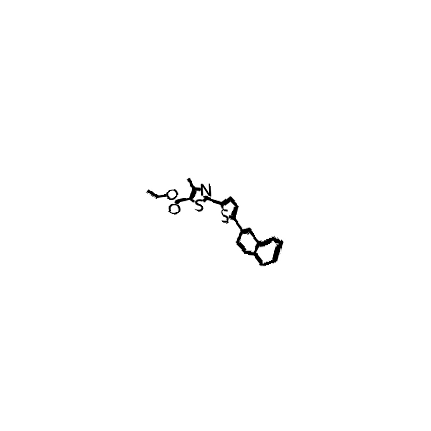 CCOC(=O)c1sc(-c2ccc(-c3ccc4ccccc4c3)s2)nc1C